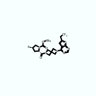 CC(C)(C)OC(=O)N1C[C@H](F)C[C@H]1C(=O)N1CC2(C1)CN(c1ncnc3sc(CC(F)(F)F)cc13)C2